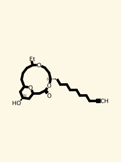 C#CCCCCCCCC[C@H]1CCOC(CC)CCCC2C[C@H](O)CC(CC(=O)O1)O2